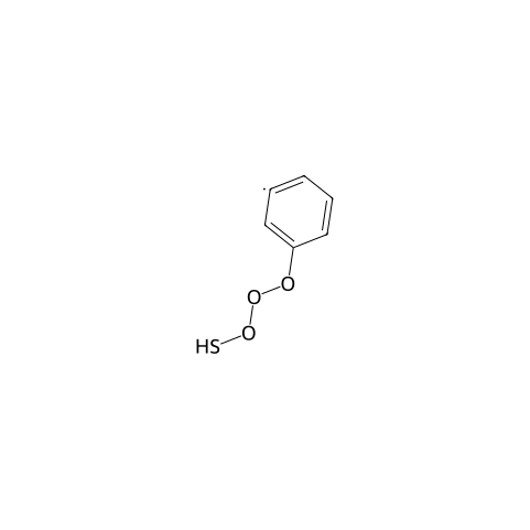 SOOOc1c[c]ccc1